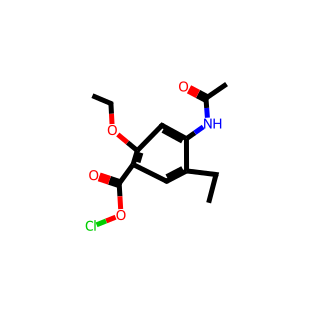 CCOc1cc(NC(C)=O)c(CC)cc1C(=O)OCl